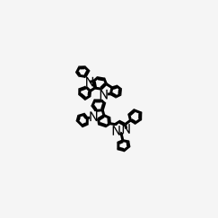 c1ccc(-c2cc(-c3ccc4c(c3)c3cc(-n5c6ccccc6c6ccc7c(c8ccccc8n7-c7ccccc7)c65)ccc3n4-c3ccccc3)nc(-c3ccccc3)n2)cc1